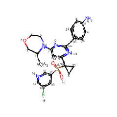 C[C@H]1COCCN1c1cc(C2(S(=O)(=O)c3cncc(F)c3)CC2)nc(-c2ccc(N)cc2)n1